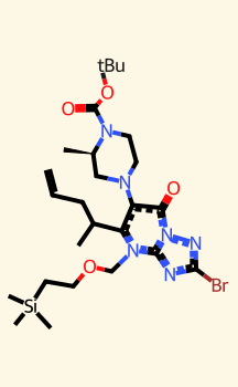 C=CCC(C)c1c(N2CCN(C(=O)OC(C)(C)C)[C@H](C)C2)c(=O)n2nc(Br)nc2n1COCC[Si](C)(C)C